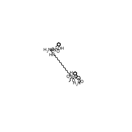 CC[C@H](C)[C@H](NC(=O)CCCCCCCCCCCCCCCN[C@@H](CN[C@@H](Cc1ccccc1)C(=O)O)CC(N)=O)C(=O)n1c2c(c3ccccc31)CCN(C(N)=O)C2